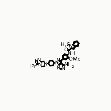 COc1cc(-c2nn([C@H]3CC[C@H](N4CCn5c(nnc5C(C)C)C4)CC3)c3ncnc(N)c23)ccc1NC(=O)c1cc2ccccc2n1C